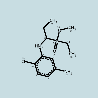 CCC(Nc1cc(N)ccc1Cl)P(=O)(CC)OC